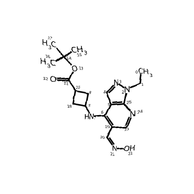 CCn1ncc2c(NC3CC(C(=O)OC(C)(C)C)C3)c(/C=N\O)cnc21